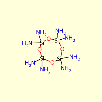 N[Si]1(N)O[Si](N)(N)O[Si](N)(N)O[Si](N)(N)O1